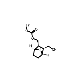 CC(C)OC(=O)OC[C@H]1[C@@H](CC#N)[C@H]2CC[C@@H]1O2